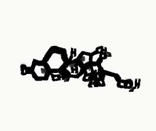 CC1C[C@H]2[C@@H]3CCC4=CC(=O)CC[C@]4(C)C3=CC[C@]2(C)[C@@]1(O)C(=O)C(O)CC(=O)O